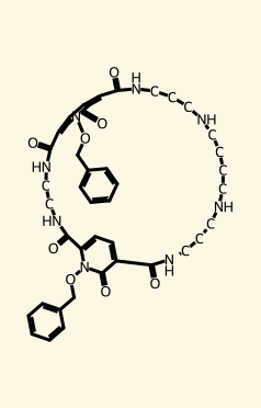 O=C1NCCCNCCCCNCCCNC(=O)c2ccc(n(OCc3ccccc3)c2=O)C(=O)NCCNC(=O)c2ccc1c(=O)n2OCc1ccccc1